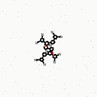 N#Cc1cc(C#N)cc(-c2ccc3c(c2)c2cc(-c4cc(C#N)cc(C#N)c4)ccc2n3-c2ccncc2-c2cc(C#N)ccc2-n2c3ccc(-c4cc(C#N)cc(C#N)c4)cc3c3cc(-c4cc(C#N)cc(C#N)c4)ccc32)c1